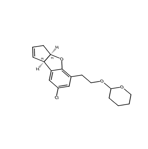 Clc1cc(CCOC2CCCCO2)c2c(c1)[C@H]1C=CC[C@H]1O2